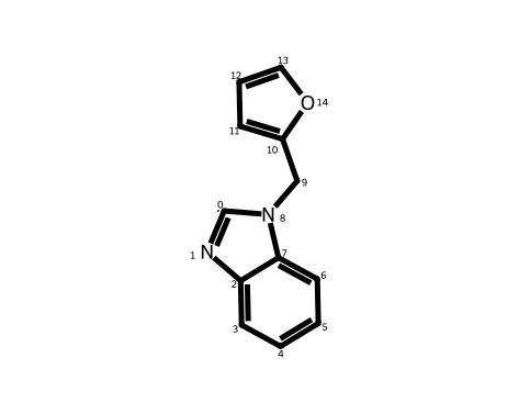 [c]1nc2ccccc2n1Cc1ccco1